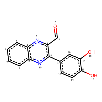 O=Cc1nc2ccccc2nc1-c1ccc(O)c(O)c1